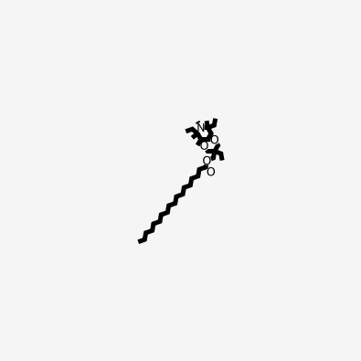 CCCCCCCCCCCCCCCCCC(=O)OCC1(CC)COC2(CC(C)(CC)N(C)C(C)(CC)C2C)OC1